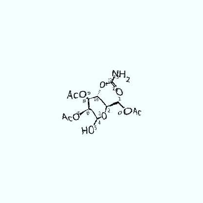 CC(=O)OC[C@H]1OC(O)[C@@H](OC(C)=O)[C@@H](OC(C)=O)[C@@H]1OC(N)=O